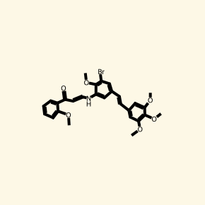 COc1ccccc1C(=O)C=CNc1cc(C=Cc2cc(OC)c(OC)c(OC)c2)cc(Br)c1OC